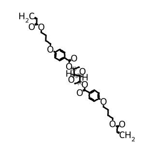 C=CC(=O)OCCCCOc1ccc(C(=O)O[C@H]2CO[C@H]3[C@@H]2OC[C@H]3OC(=O)c2ccc(OCCCCOC(=O)C=C)cc2)cc1